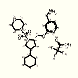 NCc1ccnc(OC[C@@H]2CC(C3CCCCC3)CN2S(=O)(=O)N2CCOCC2)c1.O=C(O)C(F)(F)F